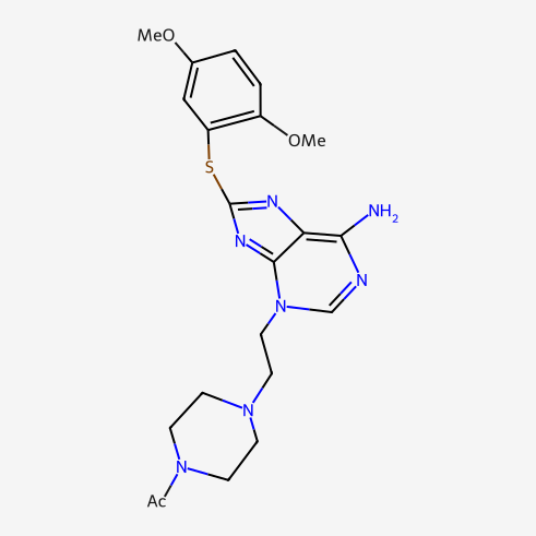 COc1ccc(OC)c(Sc2nc3c(N)ncn(CCN4CCN(C(C)=O)CC4)c-3n2)c1